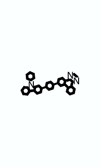 c1ccc(-n2c3ccccc3c3ccc(-c4ccc(-c5ccc6c(c5)c5ccccc5c5nccnc65)cc4)cc32)cc1